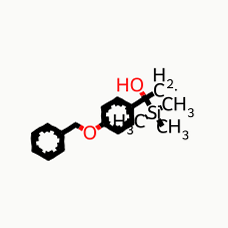 [CH2]C(O)(c1ccc(OCc2ccccc2)cc1)[Si](C)(C)C